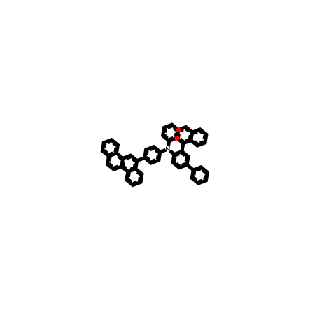 c1ccc(-c2ccc(N(c3ccccc3)c3ccc(-c4cc5c6ccccc6ccc5c5ccccc45)cc3)c(-c3cccc4ccccc34)c2)cc1